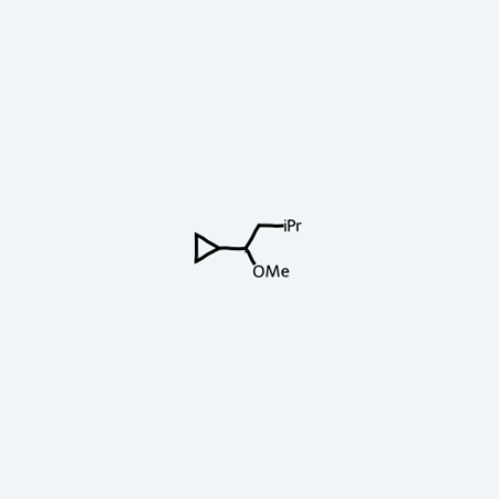 CO[C](CC(C)C)C1CC1